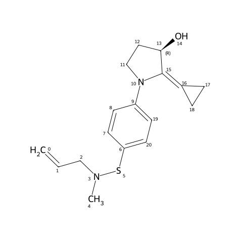 C=CCN(C)Sc1ccc(N2CC[C@@H](O)C2=C2CC2)cc1